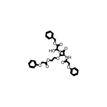 O=C(COc1ccccc1)N[C@@H]1C(=O)N(C(O)C(=O)OCc2ccccc2)[C@@H]1OCCOC(=O)COc1ccccc1